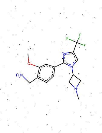 COc1cc(-c2nc(C(F)(F)F)cn2C2CN(C)C2)ccc1CN